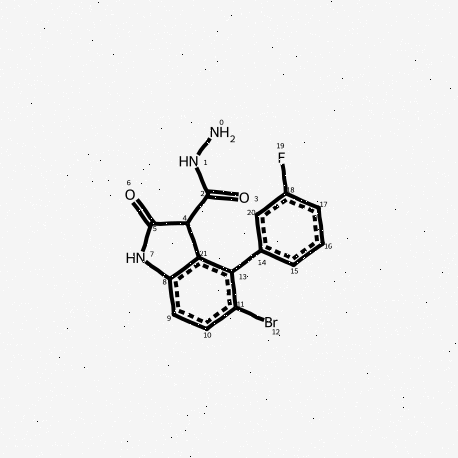 NNC(=O)C1C(=O)Nc2ccc(Br)c(-c3cccc(F)c3)c21